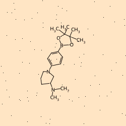 CN(C)C1CCCN(c2ccc(B3OC(C)(C)C(C)(C)O3)cc2)C1